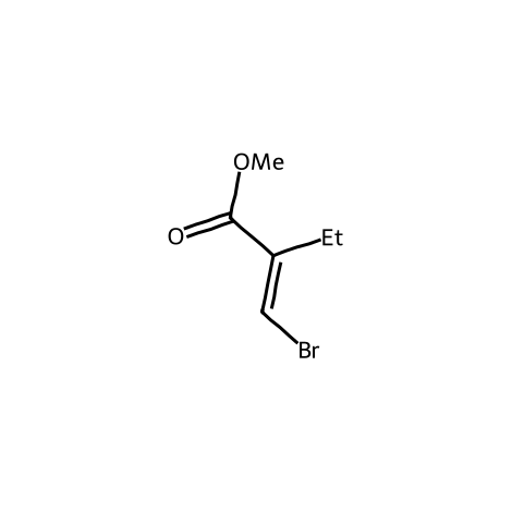 CC/C(=C\Br)C(=O)OC